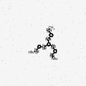 CCCCc1nc(-c2cccc(-c3nc(-c4cc(-c5noc(-c6cccc(-c7noc(C)n7)c6)n5)cc(-c5noc(-c6cccc(-c7noc(CCCC)n7)c6)n5)c4)no3)c2)no1